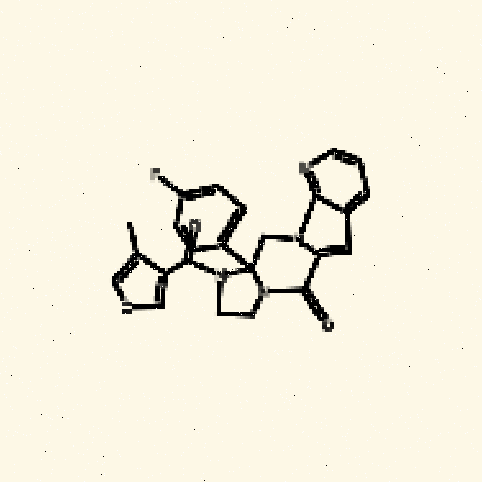 Cc1cocc1C(=O)N1CCN2C(=O)c3cc4cccnc4n3CC12c1ccc(F)cc1